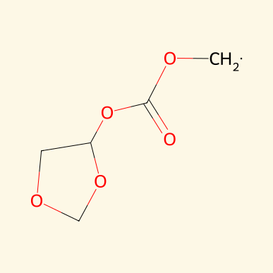 [CH2]OC(=O)OC1COCO1